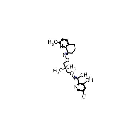 C/C(=N\OCC(C)(C)CO/N=C1\CCCc2ccc(C)nc21)c1ncc(Cl)cc1O